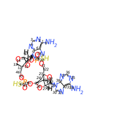 Nc1ncnc2c1ncn2[C@@H]1O[C@@]23CO[C@@H]1[C@@H]2O[P@](=O)(S)OC[C@@]12C[C@@]4(O[C@@H]([C@H](n5cnc6c(N)ncnc65)O1)[C@@H]24)O[P@@](=O)(S)OC3